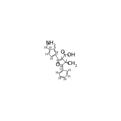 C=C1C(C(=O)O)=C(c2ccc(CN)cc2)OC1c1ccccc1